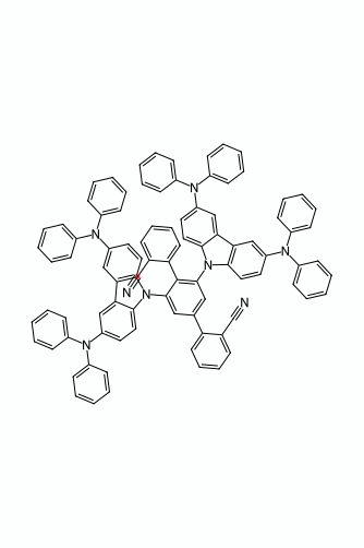 N#Cc1ccccc1-c1cc(-n2c3ccc(N(c4ccccc4)c4ccccc4)cc3c3cc(N(c4ccccc4)c4ccccc4)ccc32)c(-c2ccccc2C#N)c(-n2c3ccc(N(c4ccccc4)c4ccccc4)cc3c3cc(N(c4ccccc4)c4ccccc4)ccc32)c1